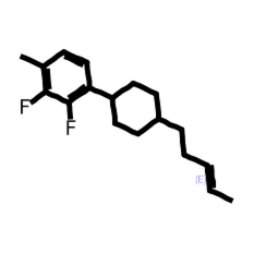 C/C=C/CCC1CCC(c2ccc(C)c(F)c2F)CC1